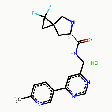 Cl.O=C(NCc1cc(-c2ccc(C(F)(F)F)nc2)ncn1)[C@@H]1CC2(CN1)CC2(F)F